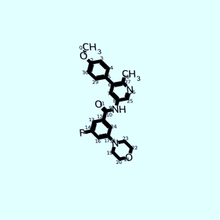 COc1ccc(-c2cc(NC(=O)c3cc(F)cc(N4CCOCC4)c3)cnc2C)cc1